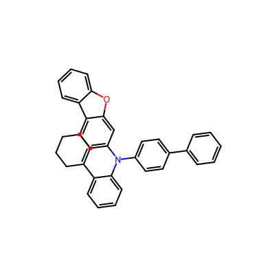 C1=C(c2ccccc2N(c2ccc(-c3ccccc3)cc2)c2ccc3c(c2)oc2ccccc23)CCCC1